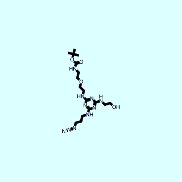 CC(C)(C)OC(=O)NCCOCCNc1nc(NCCO)nc(NCCCN=[N+]=[N-])n1